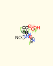 C#Cc1c(F)ccc2cc(O)cc(-c3c(Cl)cc4c(N5CCCC(C#N)CC5)nc(OC[C@@]56CCCN5C[C@H](F)C6)nc4c3F)c12.O=C(O)C(F)(F)F